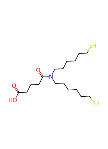 O=C(O)CCCC(=O)N(CCCCCCS)CCCCCCS